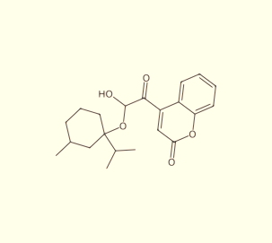 CC1CCCC(OC(O)C(=O)c2cc(=O)oc3ccccc23)(C(C)C)C1